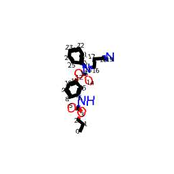 CCCOC(=O)Nc1cccc(OC(=O)N(CCC#N)c2ccccc2)c1